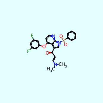 CN(C)/C=C/C(=O)c1cn(S(=O)(=O)c2ccccc2)c2nccc(Oc3cc(F)cc(F)c3)c12